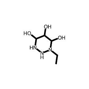 CCN1NNC(O)C(O)C1O